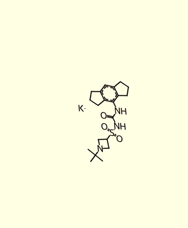 CC(C)(C)N1CC(S(=O)(=O)NC(=O)Nc2c3c(cc4c2CCC4)CCC3)C1.[K]